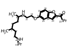 CC(CCNC(C)C)CCC(C)NCCOc1ccc2oc(C(=O)C(C)C)cc2c1